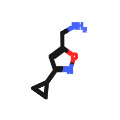 NCc1cc(C2CC2)no1